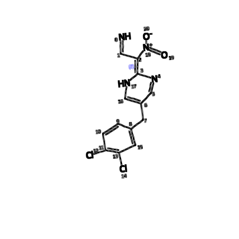 N=C/C(=C1/N=CC(Cc2ccc(Cl)c(Cl)c2)=CN1)[N+](=O)[O-]